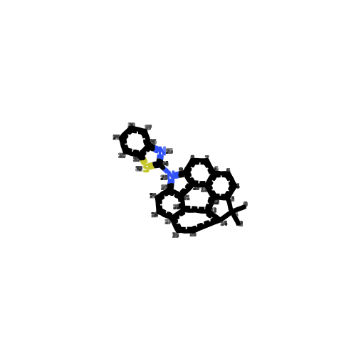 CC1(C)c2ccc3ccc4c5c3c2c2c1ccc1ccc(c5c12)n4-c1nc2ccccc2s1